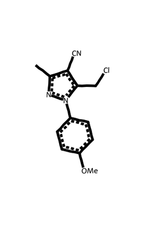 COc1ccc(-n2nc(C)c(C#N)c2CCl)cc1